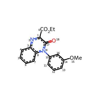 CCOC(=O)c1nc2ccccc2n(-c2cccc(OC)c2)c1=O